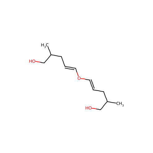 CC(CO)CC=COC=CCC(C)CO